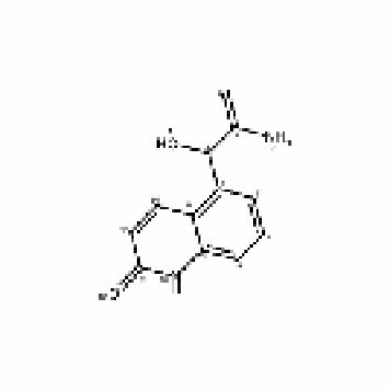 C=C(N)C(O)c1cccc2[nH]c(=O)ccc12